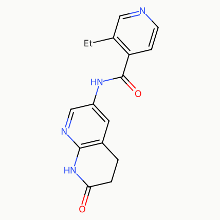 CCc1cnccc1C(=O)Nc1cnc2c(c1)CCC(=O)N2